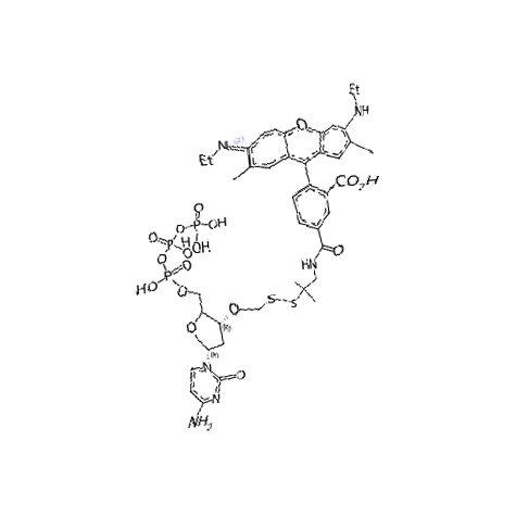 CC/N=c1/cc2oc3cc(NCC)c(C)cc3c(-c3ccc(C(=O)NCC(C)(C)SSCO[C@@H]4C[C@H](n5ccc(N)nc5=O)OC4COP(=O)(O)OP(=O)(O)OP(=O)(O)O)cc3C(=O)O)c-2cc1C